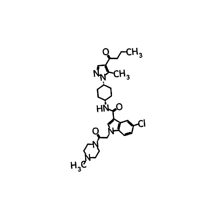 CCCC(=O)c1cnn([C@H]2CC[C@H](NC(=O)c3cn(CC(=O)N4CCN(C)CC4)c4ccc(Cl)cc34)CC2)c1C